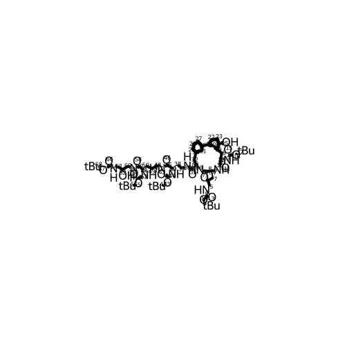 CC(C)(C)OC(=O)NCCC[C@@H]1NC(=O)[C@@H](NC(=O)OC(C)(C)C)Cc2cc(ccc2O)-c2cccc(c2)C[C@@H](C(=O)NCC[C@H](NC(=O)OC(C)(C)C)C(=O)NCCC[C@H](NC(=O)OC(C)(C)C)C(=O)NCC(O)CNC(=O)OC(C)(C)C)NC1=O